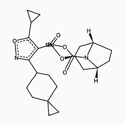 CC(C)(C)OC(=O)N1[C@@H]2CC[C@H]1C[C@H](OC(=O)c1c(C3CCC4(CC3)CC4)noc1C1CC1)C2